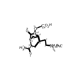 CC(=O)NCCC1=C[C@@H](C(N)=O)N2CC1N(OC(=O)O)C2=O